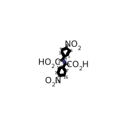 O=C(O)/C(=C(/C(=O)O)c1ccc([N+](=O)[O-])cc1)c1ccc([N+](=O)[O-])cc1